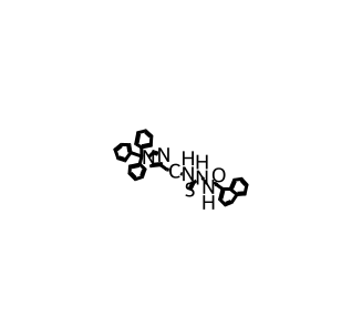 O=C(NNC(=S)NCCCc1cn(C(c2ccccc2)(c2ccccc2)c2ccccc2)cn1)c1cccc2ccccc12